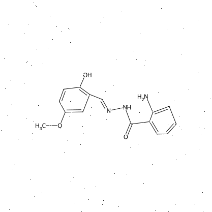 COc1ccc(O)c(C=NNC(=O)c2ccccc2N)c1